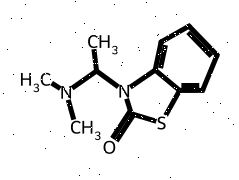 CC(N(C)C)n1c(=O)sc2ccccc21